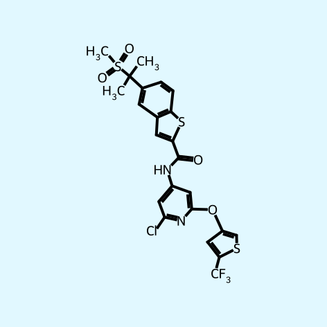 CC(C)(c1ccc2sc(C(=O)Nc3cc(Cl)nc(Oc4csc(C(F)(F)F)c4)c3)cc2c1)S(C)(=O)=O